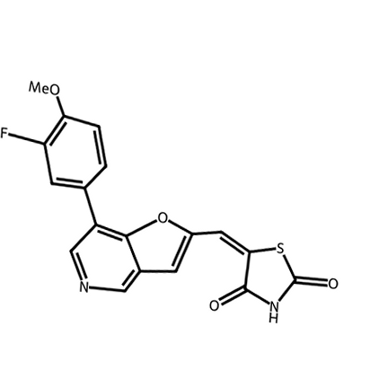 COc1ccc(-c2cncc3cc(C=C4SC(=O)NC4=O)oc23)cc1F